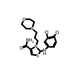 NC(=O)C1=CSC(Nc2ccc(Cl)c(Cl)c2)N1CCCN1CCOCC1